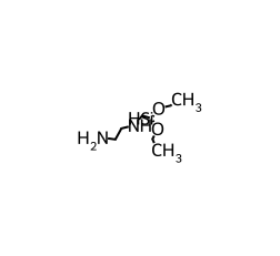 CCO[SiH](CNCCN)OCC